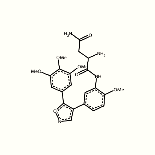 COc1ccc(-c2cnoc2-c2cc(OC)c(OC)c(OC)c2)cc1NC(=O)C(N)CC(N)=O